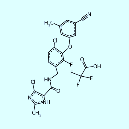 Cc1cc(C#N)cc(Oc2c(Cl)ccc(CNC(=O)c3[nH]c(C)nc3Cl)c2F)c1.O=C(O)C(F)(F)F